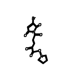 O=C(CCC(=O)N1C(=O)C=C(Br)C1=O)C(=O)ON1CCCC1